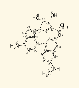 CNc1ccc2ccc(OC(C)C3=C[C@@H](n4ccc5c(N)ncnc54)[C@H](O)[C@@H]3O)cc2n1